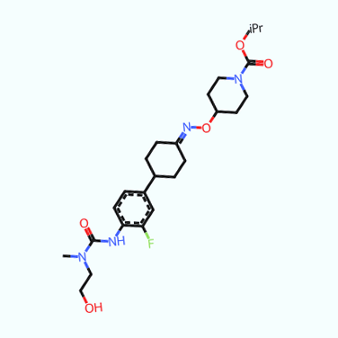 CC(C)OC(=O)N1CCC(ON=C2CCC(c3ccc(NC(=O)N(C)CCO)c(F)c3)CC2)CC1